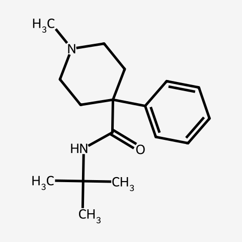 CN1CCC(C(=O)NC(C)(C)C)(c2ccccc2)CC1